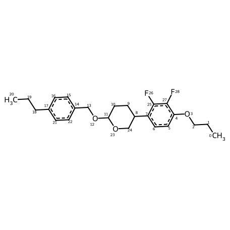 CCCOc1ccc(C2CCC(OCc3ccc(CCC)cc3)OC2)c(F)c1F